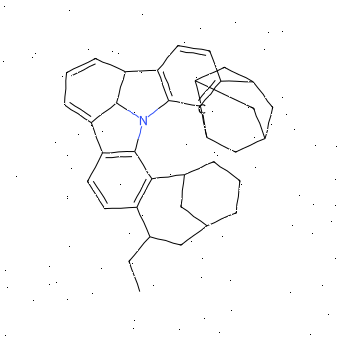 CCC1CC2CCCC(C2)c2c1ccc1c2N2c3c(ccc4c3C3CC5CC(CC4C5)C3)C3C=CC=C1C32